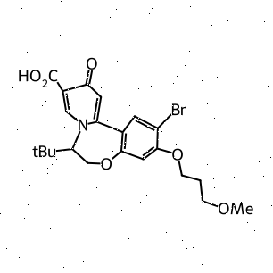 COCCCOc1cc2c(cc1Br)-c1cc(=O)c(C(=O)O)cn1C(C(C)(C)C)CO2